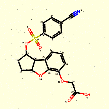 N#Cc1ccc(S(=O)(=O)OC2CCC3Oc4c(OCC(=O)O)cccc4C32)cc1